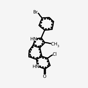 Cc1c(-c2cccc(Br)c2)[nH]c2ccc3[nH]c(=O)cc(Cl)c3c12